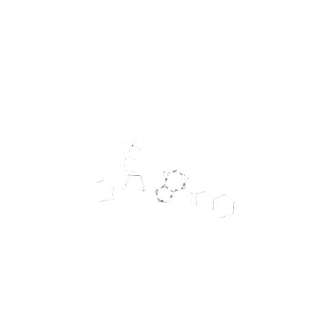 COC(OC)[C@H]1C[C@@H](c2csc3c(NCC4CCCCC4)ncnc23)C[C@@H]1O[Si](C)(C)C(C)(C)C